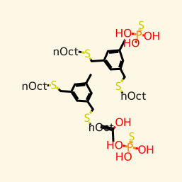 C=C(C)O.CCCCCCCCSCc1cc(C)cc(CSCCCCCCCC)c1.CCCCCCCCSCc1cc(C)cc(CSCCCCCCCC)c1.OP(O)(O)=S.OP(O)(O)=S